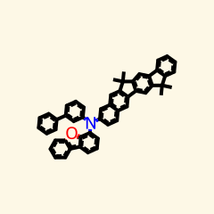 CC1(C)c2ccccc2-c2cc3c(cc21)-c1cc2ccc(N(c4cccc(-c5ccccc5)c4)c4cccc5c4oc4ccccc45)cc2cc1C3(C)C